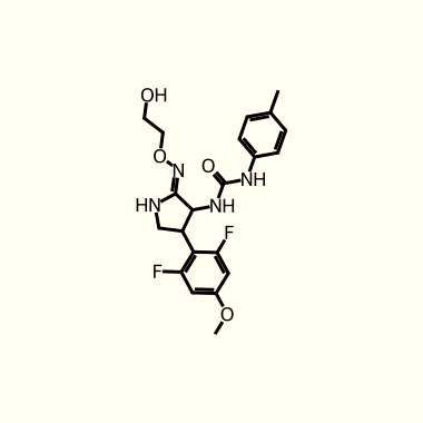 COc1cc(F)c(C2CN/C(=N\OCCO)C2NC(=O)Nc2ccc(C)cc2)c(F)c1